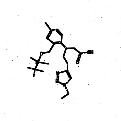 CCn1cc(CCC(CC(=O)O)c2ccc(C)cc2CO[Si](C)(C)C(C)(C)C)nn1